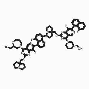 OCC1CN(c2nc(OCC34CCCN3CCC4)nc3c(F)c(-c4cccc5c(C6CCC7(COc8nc(N9CCC[C@@H](CO)C9)c9cnc(-c%10cccc%11cccc(F)c%10%11)c(F)c9n8)CCCN67)ccc(F)c45)ncc23)CCCO1